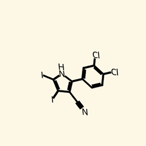 N#Cc1c(-c2ccc(Cl)c(Cl)c2)[nH]c(I)c1I